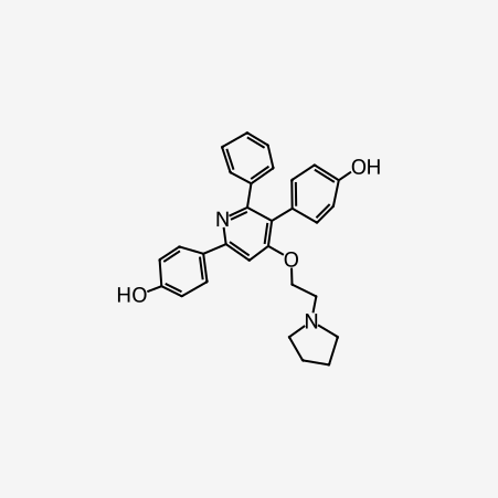 Oc1ccc(-c2cc(OCCN3CCCC3)c(-c3ccc(O)cc3)c(-c3ccccc3)n2)cc1